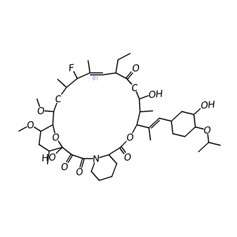 CCC1/C=C(\C)C(F)C(C)CC(OC)C2OC(O)(C(=O)C(=O)N3CCCCC3C(=O)OC(C(C)=CC3CCC(OC(C)C)C(O)C3)C(C)C(O)CC1=O)C(C)CC2OC